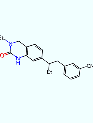 CCC(Cc1cccc(C#N)c1)c1ccc2c(c1)NC(=O)N(CC)C2